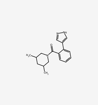 CC1CC(C)CN(C(=O)c2ccccc2-c2cn[nH]c2)C1